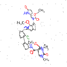 CCOC(=O)N(C[C@@H]1CCC(=O)N1)[C@@H]1CCc2cc(-c3cccc(-c4cccc(NC(=O)c5cn(C)c(=O)n(C)c5=O)c4C)c3Cl)nc(OC)c21